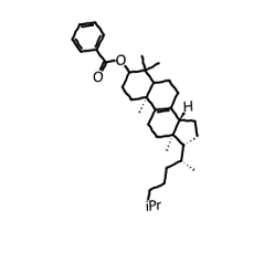 CC(C)CCC[C@@H](C)[C@H]1CC[C@H]2C3=C(CC[C@]12C)[C@@]1(C)CCC(OC(=O)c2ccccc2)C(C)(C)C1CC3